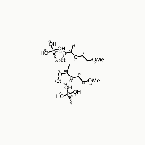 CCOC(C)OCCOC.CCOC(C)OCCOC.OP(O)(O)=S.OP(O)(O)=S